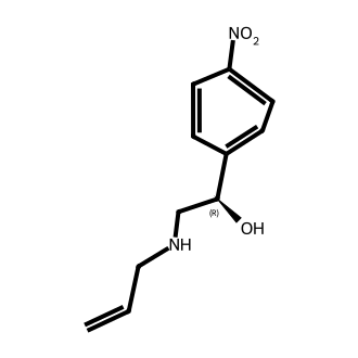 C=CCNC[C@H](O)c1ccc([N+](=O)[O-])cc1